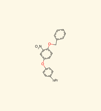 CCCc1ccc(Oc2ccc(OCc3ccccc3)c([N+](=O)[O-])c2)cc1